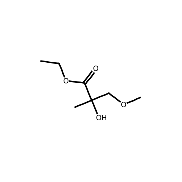 CCOC(=O)C(C)(O)COC